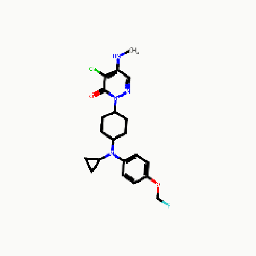 CNc1cnn(C2CCC(N(c3ccc(OCF)cc3)C3CC3)CC2)c(=O)c1Cl